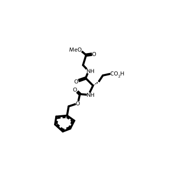 COC(=O)CNC(=O)[C@H](CCC(=O)O)NC(=O)OCc1ccccc1